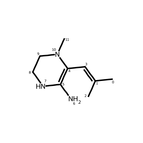 CC(C)=CC1=C(N)NCCN1C